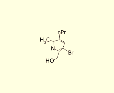 CCCc1cc(Br)c(CO)nc1C